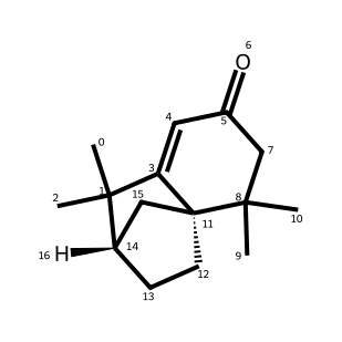 CC1(C)C2=CC(=O)CC(C)(C)[C@]23CC[C@H]1C3